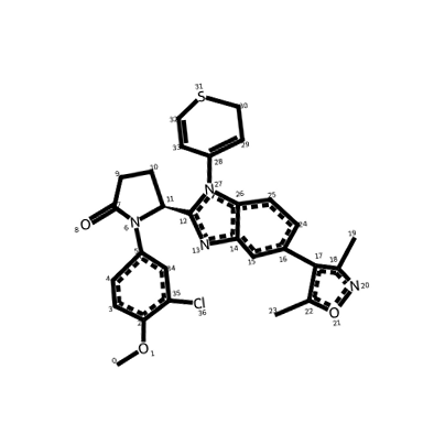 COc1ccc(N2C(=O)CC[C@H]2c2nc3cc(-c4c(C)noc4C)ccc3n2C2=CCSC=C2)cc1Cl